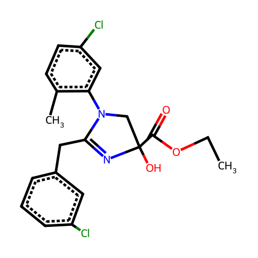 CCOC(=O)C1(O)CN(c2cc(Cl)ccc2C)C(Cc2cccc(Cl)c2)=N1